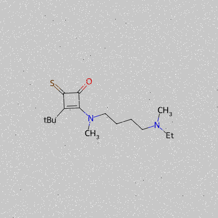 CCN(C)CCCCN(C)c1c(C(C)(C)C)c(=S)c1=O